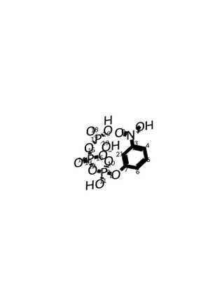 O=[N+](O)c1cccc(OP(=O)(O)OP(=O)([O-])OP(=O)(O)O)c1